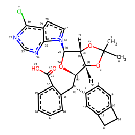 CC1(C)O[C@@H]2[C@@H]([C@H](c3ccc4c(c3)CC4)c3ccccc3C(=O)O)O[C@@H](n3ccc4c(Cl)ncnc43)[C@@H]2O1